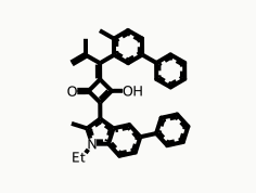 C=C(C)/C(=C1\C(=O)C(c2c(C)n(CC)c3ccc(-c4ccccc4)cc23)=C1O)c1cc(-c2ccccc2)ccc1C